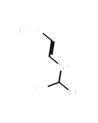 CCC(C)N/C=C/C(=O)O